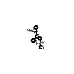 COc1ccccc1CNc1cc(-c2ccccc2C)c2cc(NCc3cccnc3)ccc2n1